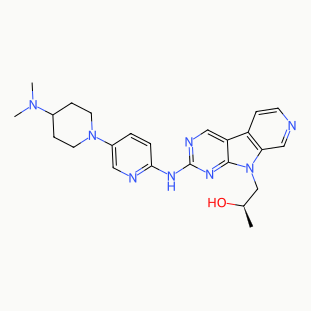 C[C@@H](O)Cn1c2cnccc2c2cnc(Nc3ccc(N4CCC(N(C)C)CC4)cn3)nc21